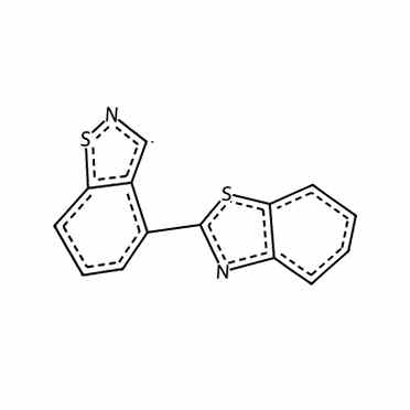 [c]1nsc2cccc(-c3nc4ccccc4s3)c12